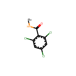 CCC(C)PC(=O)c1c(Cl)cc(Cl)cc1Cl